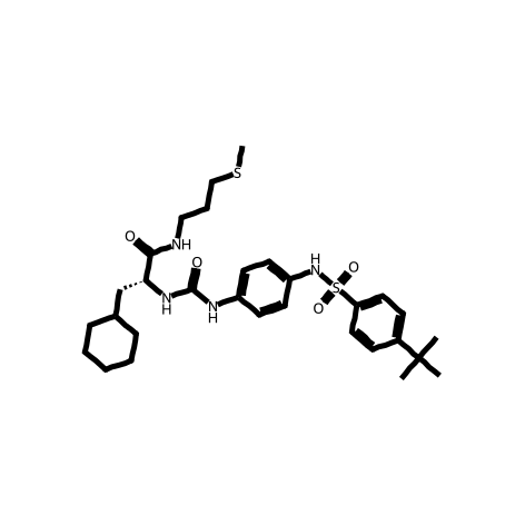 CSCCCNC(=O)[C@@H](CC1CCCCC1)NC(=O)Nc1ccc(NS(=O)(=O)c2ccc(C(C)(C)C)cc2)cc1